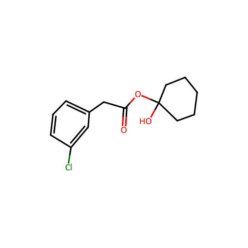 O=C(Cc1cccc(Cl)c1)OC1(O)CCCCC1